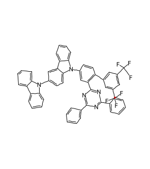 FC(F)(F)c1cc(-c2ccc(-n3c4ccccc4c4cc(-n5c6ccccc6c6ccccc65)ccc43)cc2-c2nc(-c3ccccc3)nc(-c3ccccc3)n2)cc(C(F)(F)F)c1